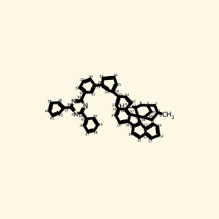 CC1CC2CC(C)C3(c4c(ccc5ccccc45)-c4ccc5cc(-c6cccc(-c7cccc(-c8nc(-c9ccccc9)nc(-c9ccccc9)n8)c7)c6)ccc5c43)C(C1)C2